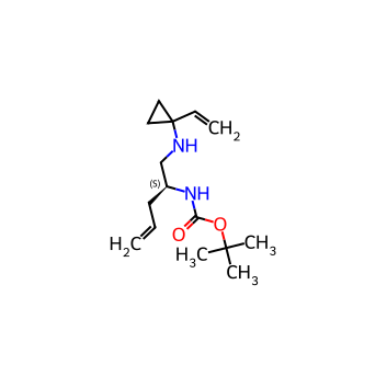 C=CC[C@@H](CNC1(C=C)CC1)NC(=O)OC(C)(C)C